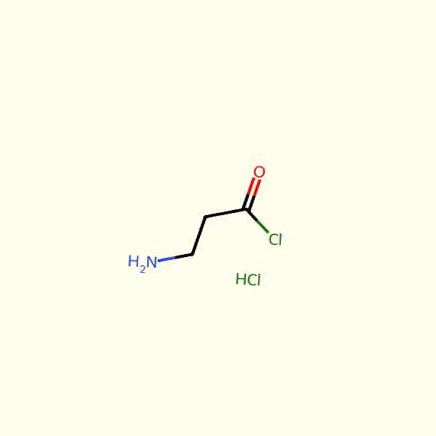 Cl.NCCC(=O)Cl